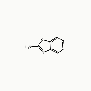 Nc1nc2c[c]ccc2o1